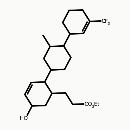 CCOC(=O)CCC1CC(O)C=CC1C1CCC(C2C=C(C(F)(F)F)CCC2)C(C)C1